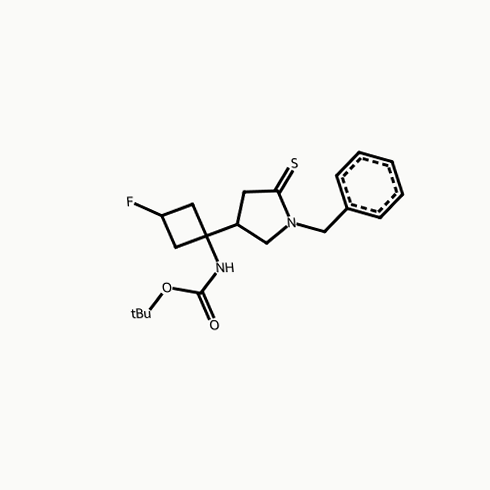 CC(C)(C)OC(=O)NC1(C2CC(=S)N(Cc3ccccc3)C2)CC(F)C1